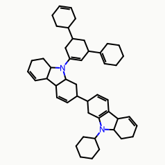 C1=CCC(C2CC(N3C4CCC=CC4C4C=CC(C5C=CC6=C(C5)N(C5CCCCC5)C5CCC=CC65)CC43)=CC(C3=CCCCC3)C2)CC1